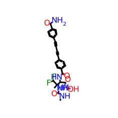 CNC(=O)NC(C)(C(F)F)C(NC(=O)c1ccc(C#CC#Cc2ccc(C(N)=O)cc2)cc1)C(=O)NO